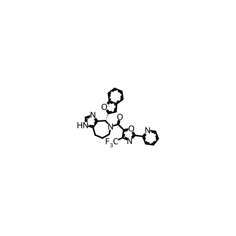 O=C(c1oc(-c2ccccn2)nc1C(F)(F)F)N1CCCc2[nH]cnc2[C@@H]1c1cc2ccccc2o1